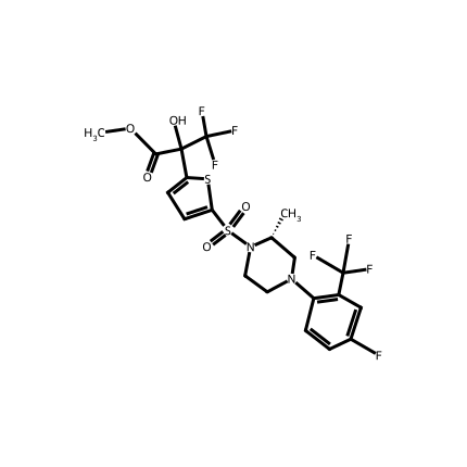 COC(=O)C(O)(c1ccc(S(=O)(=O)N2CCN(c3ccc(F)cc3C(F)(F)F)C[C@H]2C)s1)C(F)(F)F